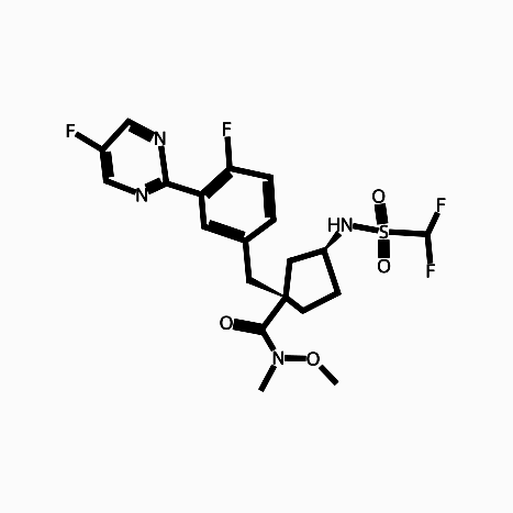 CON(C)C(=O)[C@@]1(Cc2ccc(F)c(-c3ncc(F)cn3)c2)CC[C@H](NS(=O)(=O)C(F)F)C1